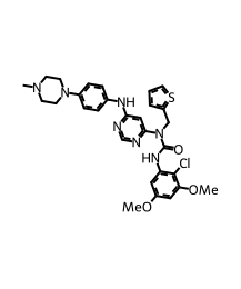 COc1cc(NC(=O)N(Cc2cccs2)c2cc(Nc3ccc(N4CCN(C)CC4)cc3)ncn2)c(Cl)c(OC)c1